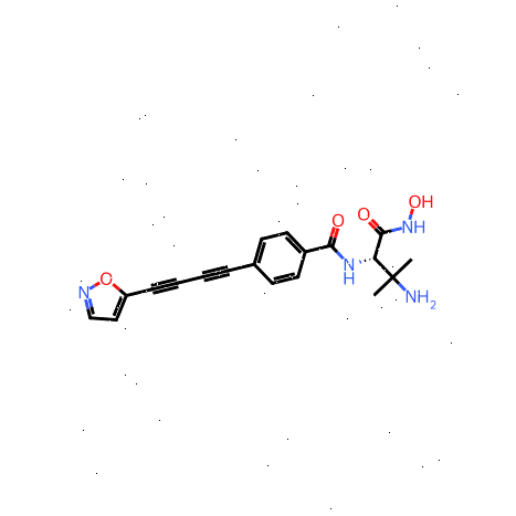 CC(C)(N)[C@H](NC(=O)c1ccc(C#CC#Cc2ccno2)cc1)C(=O)NO